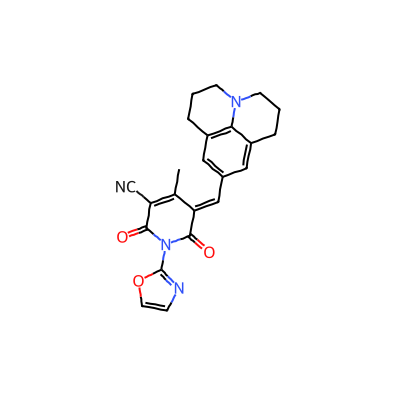 CC1=C(C#N)C(=O)N(c2ncco2)C(=O)/C1=C/c1cc2c3c(c1)CCCN3CCC2